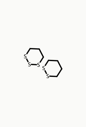 C1CCSSC1.C1CSSSC1